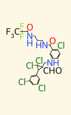 O=CC1(CNc2ccc(Cl)c(C(=O)NCCCNC(=O)C(F)(F)C(F)(F)F)c2)C(c2cc(Cl)cc(Cl)c2)C1(Cl)Cl